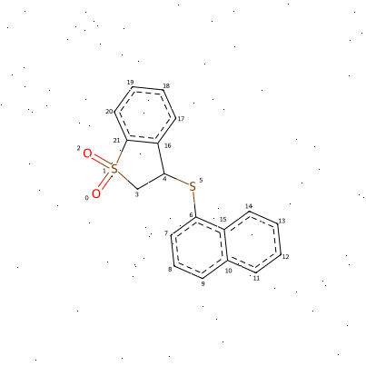 O=S1(=O)CC(Sc2cccc3ccccc23)c2ccccc21